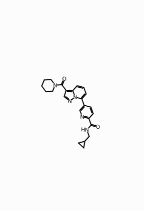 O=C(NCC1CC1)c1ccc(-c2cccc3c(C(=O)N4CCCCC4)cnn23)cn1